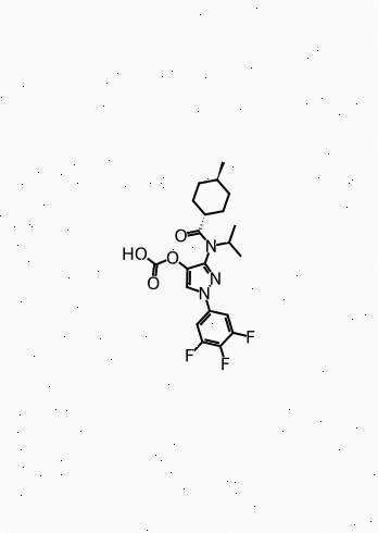 CC(C)N(c1nn(-c2cc(F)c(F)c(F)c2)cc1OC(=O)O)C(=O)[C@H]1CC[C@H](C)CC1